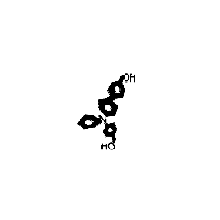 OCc1ccc(-c2ccc(N(c3ccccc3)c3ccc(CO)cc3)cc2)cc1